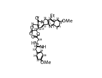 CCc1c2c(nc3ccc(OC)cc13)-c1cc3c(c(=O)n1C2)COC(=O)C3OC(=O)CNC(=N)Cc1ccc(OC)cc1